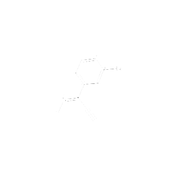 C#C/C(=N\C)c1cccc(Br)c1